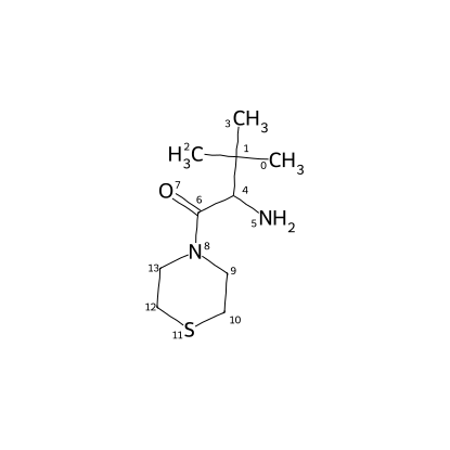 CC(C)(C)C(N)C(=O)N1CCSCC1